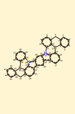 c1ccc2c(c1)Cc1cccc3c1B2c1cccc2c4cc5c6ccc7c8c6n(c5cc4n-3c12)-c1ccccc1B8c1ccccc1C7